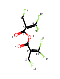 O=C(OC(=O)C(CF)=C(F)F)C(CF)=C(F)F